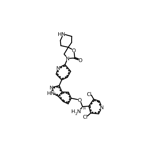 N[C@@H](Oc1ccc2[nH]nc(-c3ccc(N4CC5(CCNCC5)OC4=O)nc3)c2c1)c1c(Cl)cncc1Cl